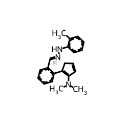 Cc1ccccc1N/N=C/c1ccccc1C1=C(N(C)C)C=CC1